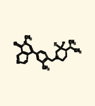 Cc1cc(-c2cn(C)c(=O)c3cnccc23)ccc1CN1CCC(C(C)C)C(F)(F)C1